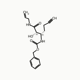 C#CCC[C@H](NC(=O)OCc1ccccc1)[C@H](O)C(=O)NCC=C